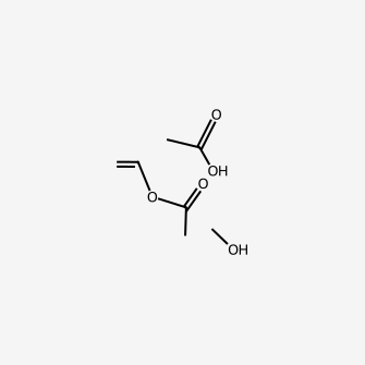 C=COC(C)=O.CC(=O)O.CO